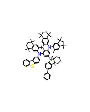 Cc1cc2c(cc1N1c3cc4c(cc3B3c5cc6c(cc5N(c5ccc7sc8ccccc8c7c5)c5cc(N7c8ccc(-c9ccccc9)cc8C8(C)CCCCC78C)cc1c53)C(C)(C)CCC6(C)C)C(C)(C)CCC4(C)C)C(C)(C)CC2(C)C